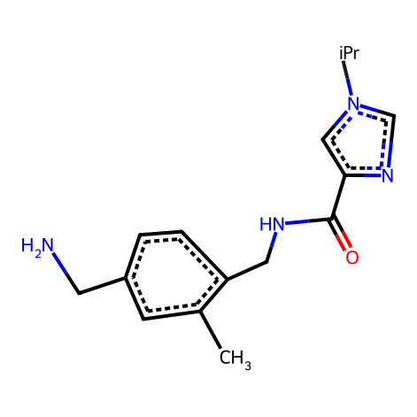 Cc1cc(CN)ccc1CNC(=O)c1cn(C(C)C)cn1